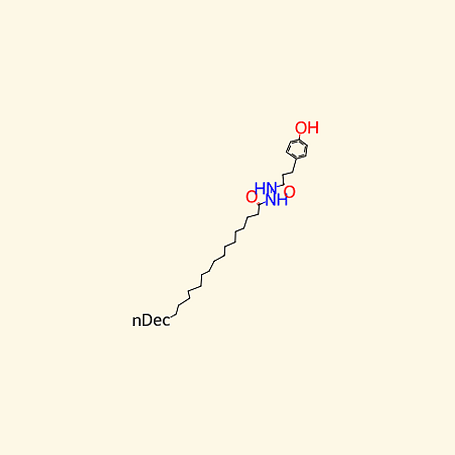 CCCCCCCCCCCCCCCCCCCCCCCCCC(=O)NNC(=O)CCc1ccc(O)cc1